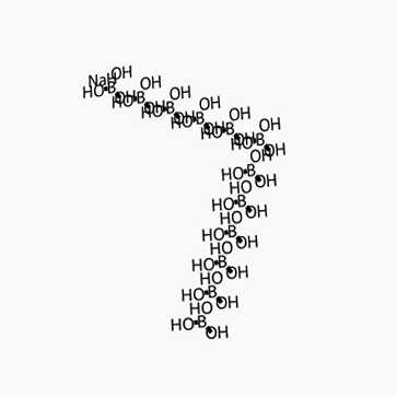 OB(O)O.OB(O)O.OB(O)O.OB(O)O.OB(O)O.OB(O)O.OB(O)O.OB(O)O.OB(O)O.OB(O)O.OB(O)O.OB(O)O.[NaH]